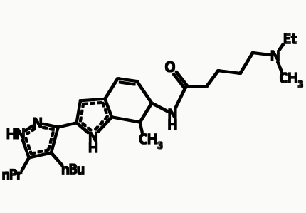 CCCCc1c(-c2cc3c([nH]2)C(C)C(NC(=O)CCCCN(C)CC)C=C3)n[nH]c1CCC